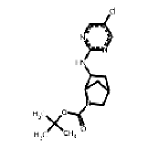 CC(C)(C)OC(=O)N1CC2CC(Nc3ncc(Cl)cn3)C1C2